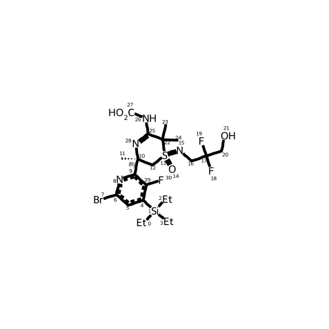 CC[Si](CC)(CC)c1cc(Br)nc([C@]2(C)CS(=O)(=NCC(F)(F)CO)C(C)(C)C(NC(=O)O)=N2)c1F